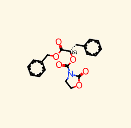 O=C(OCc1ccccc1)[C@H](Cc1ccccc1)OC(=O)N1CCOC1=O